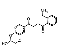 CCc1ccccc1C(=O)CCC(=O)c1ccc2c(c1)OCC(O)O2